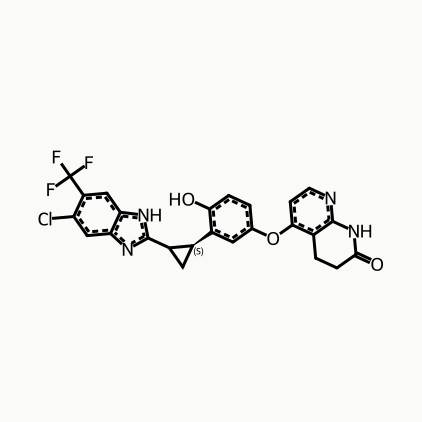 O=C1CCc2c(Oc3ccc(O)c([C@H]4CC4c4nc5cc(Cl)c(C(F)(F)F)cc5[nH]4)c3)ccnc2N1